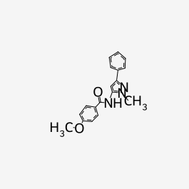 COc1ccc(C(=O)Nc2cc(-c3ccccc3)nn2C)cc1